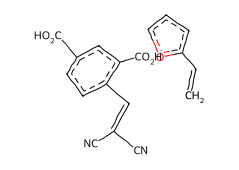 C=Cc1ccco1.N#CC(C#N)=Cc1ccc(C(=O)O)cc1C(=O)O